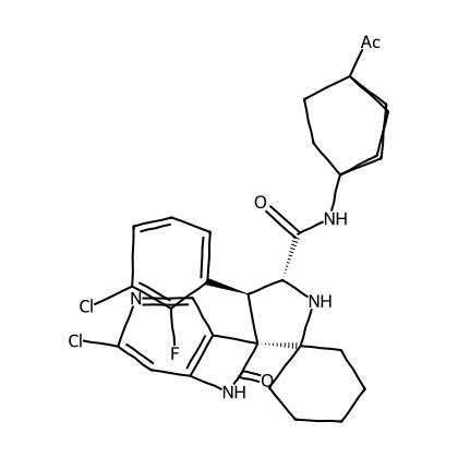 CC(=O)C12CCC(NC(=O)[C@@H]3NC4(CCCCC4)[C@@]4(C(=O)Nc5cc(Cl)ncc54)[C@H]3c3cccc(Cl)c3F)(CC1)CC2